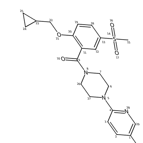 Cc1ccc(N2CCN(C(=O)c3cc(S(C)(=O)=O)ccc3OCC3CC3)CC2)nc1